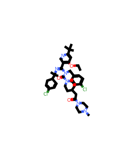 CCOc1cc(C(C)(C)C)ncc1/C(=N/C(C)(C)C1C=CC(Cl)=CC1)N(Cc1ccc(Cl)cc1)C(=O)N1CCC(CC(=O)N2CCN(C)CC2)CC1